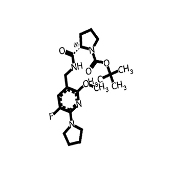 COc1nc(N2CCCC2)c(F)cc1CNC(=O)[C@@H]1CCCN1C(=O)OC(C)(C)C